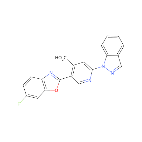 O=C(O)c1cc(-n2ncc3ccccc32)ncc1-c1nc2ccc(F)cc2o1